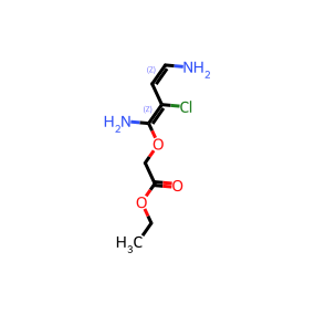 CCOC(=O)CO/C(N)=C(Cl)/C=C\N